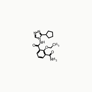 CCOc1c(C(N)=O)cccc1C(=O)Nn1cnnc1C1CCCC1